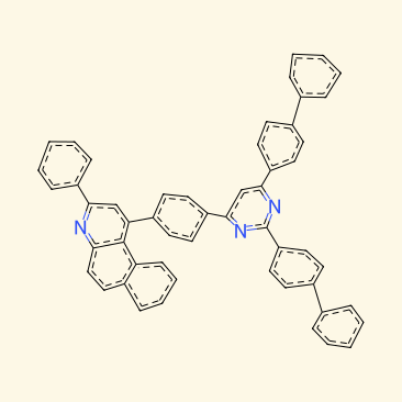 c1ccc(-c2ccc(-c3cc(-c4ccc(-c5cc(-c6ccccc6)nc6ccc7ccccc7c56)cc4)nc(-c4ccc(-c5ccccc5)cc4)n3)cc2)cc1